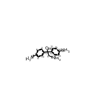 NCC(O)(c1ccc(N)cc1)c1ccc(N)cc1